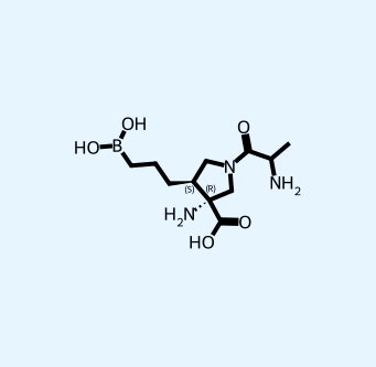 CC(N)C(=O)N1C[C@H](CCCB(O)O)[C@](N)(C(=O)O)C1